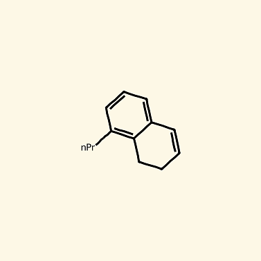 CCCc1cccc2c1CCC=C2